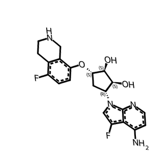 Nc1ccnc2c1c(F)cn2[C@@H]1C[C@H](Oc2ccc(F)c3c2CNCC3)[C@@H](O)[C@H]1O